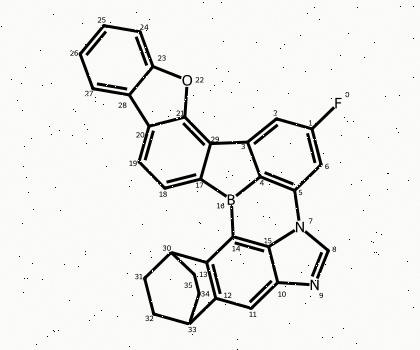 Fc1cc2c3c(c1)-n1cnc4cc5c(c(c41)B3c1ccc3c(oc4ccccc43)c1-2)C1CCC5CC1